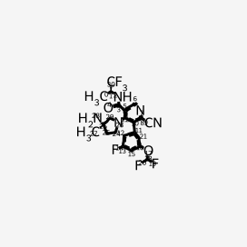 C[C@H](NC(=O)c1cnc(C#N)c(-c2cc(F)cc(OC(F)F)c2)c1N1CC[C@](C)(N)C1)C(F)(F)F